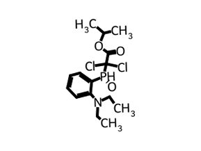 CCN(CC)c1ccccc1[PH](=O)C(Cl)(Cl)C(=O)OC(C)C